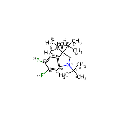 CC(C)(C)N1CC(C(C)(C)C)(C(C)(C)C)c2cc(F)c(F)cc21